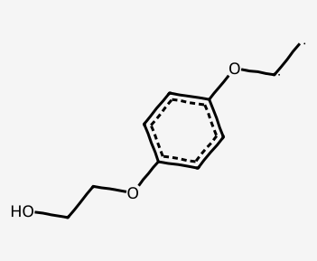 [CH2][CH]Oc1ccc(OCCO)cc1